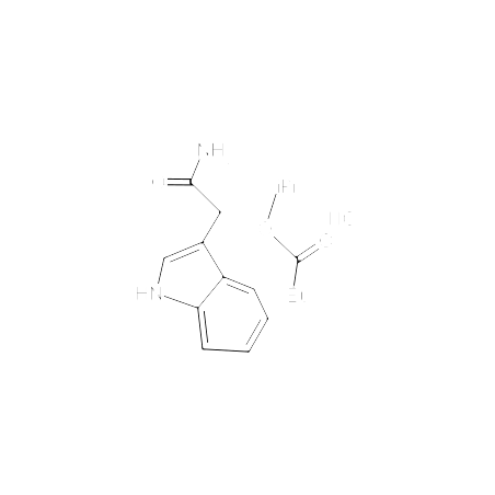 CCC(=O)OC(C)C.Cl.NC(=O)Cc1c[nH]c2ccccc12